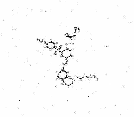 COCCCN1CCOc2ccc(CO[C@@H]3CC[C@@H](CCC(=O)OC)N(S(=O)(=O)c4ccc(C)cc4)C3)cc21